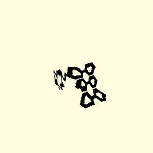 c1ccc(-c2ccccc2)cc1.c1ccc(-c2ccccc2)cc1.c1ccc(-c2ccccc2)cc1.c1ncncn1